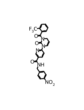 O=C(NCc1ccc([N+](=O)[O-])cc1)c1ccc(N2C=CCN(C(=O)c3ccccc3C(F)(F)F)C2=O)nc1